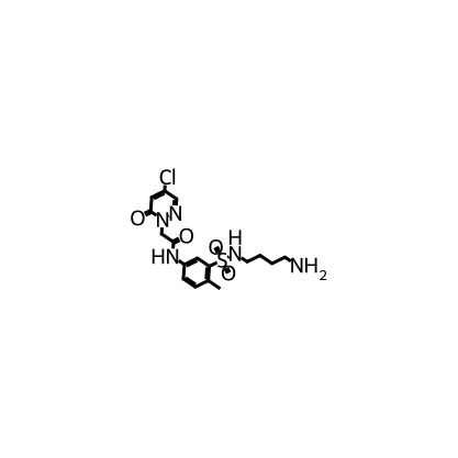 Cc1ccc(NC(=O)Cn2ncc(Cl)cc2=O)cc1S(=O)(=O)NCCCCN